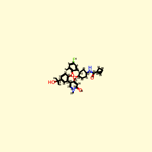 Cc1cc(F)cc(C)c1Oc1ccc(C(C)(C)O)cc1-c1cn(C)c(=O)cc1OC1CCC(NC(=O)C23CC(C2)C3)CC1